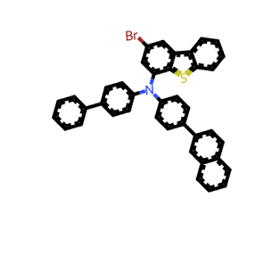 Brc1cc(N(c2ccc(-c3ccccc3)cc2)c2ccc(-c3ccc4ccccc4c3)cc2)c2sc3ccccc3c2c1